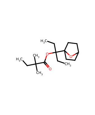 CCC(C)(C)C(=O)OC(CC)(CC)C12CCC(CC1)O2